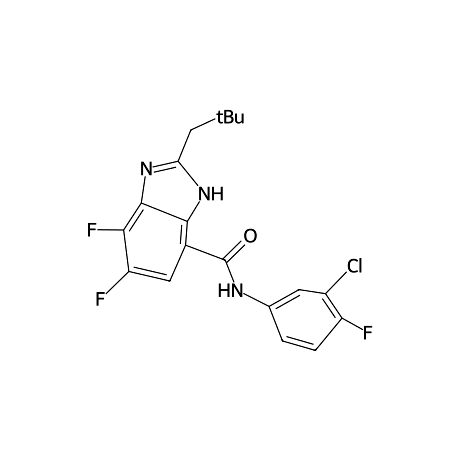 CC(C)(C)Cc1nc2c(F)c(F)cc(C(=O)Nc3ccc(F)c(Cl)c3)c2[nH]1